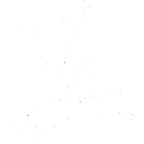 CCCCCCOc1c(-c2ccc(C(=O)OC)cc2)cc(-c2ccc(C)cc2)cc1-c1ccc(C(=O)OC)cc1